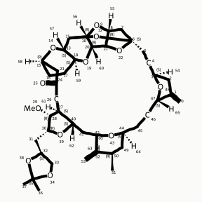 C=C1C[C@@H]2CC[C@@]34C[C@H]5O[C@H]6C(O3)[C@H]3O[C@H](CC[C@@H]3O[C@H]6C5O4)CC(=O)C[C@@H]3[C@@H](OC)[C@@H](C[C@H]4COC(C)(C)O4)O[C@H]3C[C@H]3O[C@@H](CC[C@@H]1O2)C[C@@H](C)C3=C